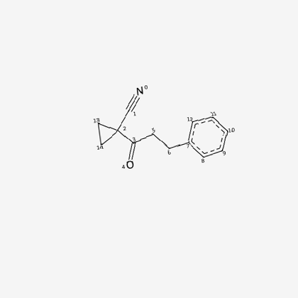 N#CC1(C(=O)CCc2ccccc2)CC1